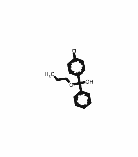 CCCOC(O)(c1ccccc1)c1ccc(Cl)cc1